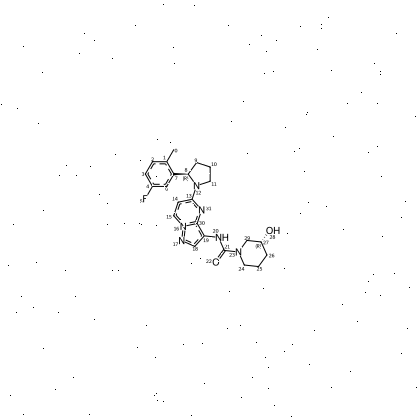 Cc1ccc(F)cc1[C@H]1CCCN1c1ccn2ncc(NC(=O)N3CCC[C@@H](O)C3)c2n1